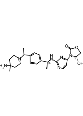 CC(c1ccc([C@H](C)Nc2nccc(N3C(=O)OC[C@@H]3O)n2)cc1)N1CCC(C)(N)CC1